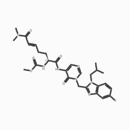 COC(=O)N[C@@H](CC/C=C/C(=O)N(C)C)C(=O)Nc1cncn(Cc2nc3cc(F)ccc3n2CC(C)C)c1=O